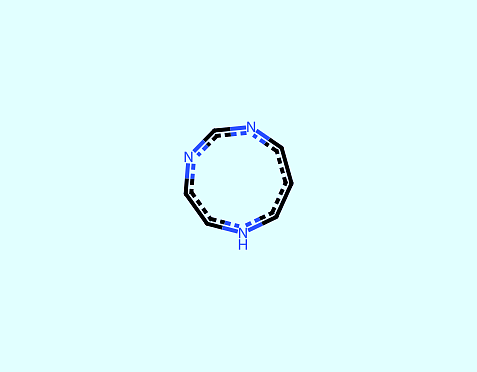 c1cncncc[nH]c1